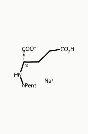 CCCCCN[C@@H](CCC(=O)O)C(=O)[O-].[Na+]